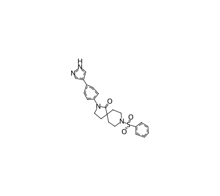 O=C1N(c2ccc(-c3cn[nH]c3)cc2)CCC12CCN(S(=O)(=O)c1ccccc1)CC2